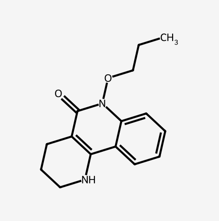 CCCOn1c(=O)c2c(c3ccccc31)NCCC2